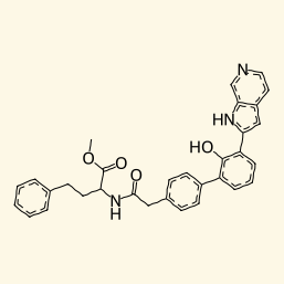 COC(=O)C(CCc1ccccc1)NC(=O)Cc1ccc(-c2cccc(-c3cc4ccncc4[nH]3)c2O)cc1